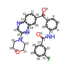 O=C(Nc1cccc(C(=O)c2ccc3ncc(N4CCOCC4)nc3c2)c1)c1cccc(F)c1